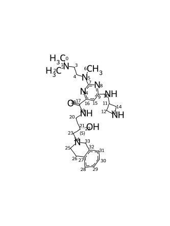 CN(C)CCN(C)c1nc(NC2CNC2)cc(C(=O)NC[C@H](O)CN2CCc3ccccc3C2)n1